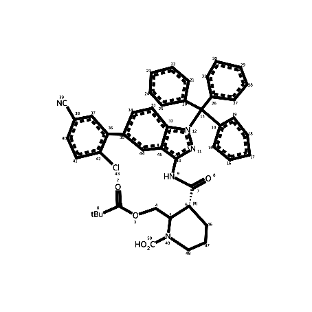 CC(C)(C)C(=O)OCC1[C@H](C(=O)Nc2nn(C(c3ccccc3)(c3ccccc3)c3ccccc3)c3ccc(-c4cc(C#N)ccc4Cl)cc23)CCCN1C(=O)O